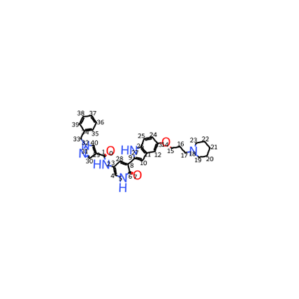 O=C(Nc1c[nH]c(=O)c(-c2cc3cc(OCCCN4CCCCC4)ccc3[nH]2)c1)c1cnn(Cc2ccccc2)c1